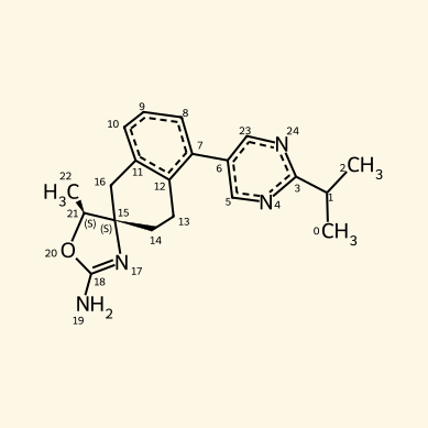 CC(C)c1ncc(-c2cccc3c2CC[C@@]2(C3)N=C(N)O[C@H]2C)cn1